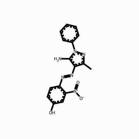 Cc1nn(-c2ccccc2)c(N)c1N=Nc1ccc(O)cc1[N+](=O)[O-]